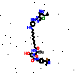 Cc1ncsc1-c1ccc(CNC(=O)[C@@H]2C[C@@H](O)CN2C(=O)C(NC(=O)CCCCCCCCCCNC2CCC(Nc3ncc(Cl)c(-c4cnn(C)c4CC4CC4)n3)CC2)C(C)(C)C)cc1